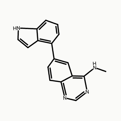 CNc1ncnc2ccc(-c3cccc4[nH]ccc34)cc12